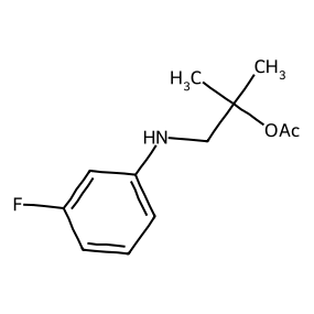 CC(=O)OC(C)(C)CNc1cccc(F)c1